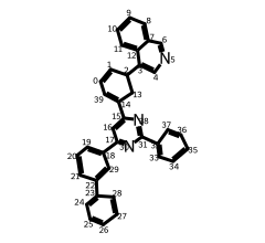 C1=CC(c2cncc3ccccc23)CC(c2cc(-c3cccc(-c4ccccc4)c3)nc(-c3ccccc3)n2)=C1